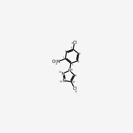 O=[N+]([O-])c1cc(Cl)ccc1-n1cc(Cl)nn1